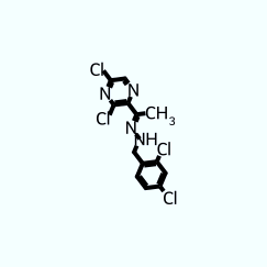 C/C(=N\NCc1ccc(Cl)cc1Cl)c1ncc(Cl)nc1Cl